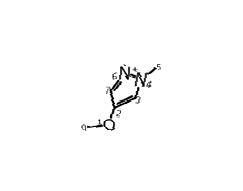 COC1=CN(C)[N+]=C1